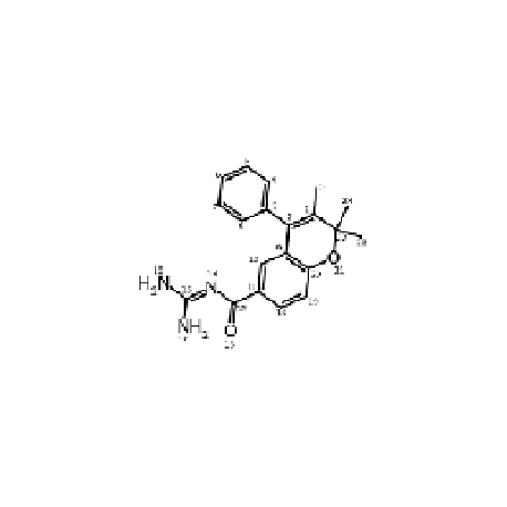 CC1=C(c2ccccc2)c2cc(C(=O)N=C(N)N)ccc2OC1(C)C